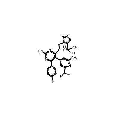 Cc1cc(-c2c(OCc3nocc3C(C)(C)O)nc(N)nc2-c2ccc(F)cc2)cc(C(F)F)n1